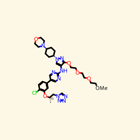 COCCOCCOCCOc1nn([C@H]2CC[C@H](N3CCOCC3)CC2)cc1Nc1ncc(-c2ccc(Cl)c(O[C@@H](C)Cn3cnnn3)c2)cn1